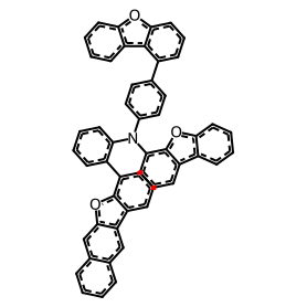 c1ccc(N(c2ccc(-c3cccc4oc5ccccc5c34)cc2)c2cccc3c2oc2ccccc23)c(-c2cccc3c2oc2cc4ccccc4cc23)c1